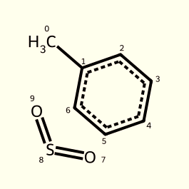 Cc1ccccc1.O=S=O